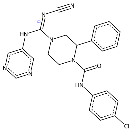 N#C/N=C(/Nc1cncnc1)N1CCN(C(=O)Nc2ccc(Cl)cc2)C(c2ccccc2)C1